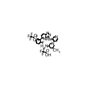 C[C@H]1C[C@@H](N)CN(c2ccncc2Nc2nnc3ccc(-c4c(F)cccc4F)nn23)C1.O=C(O)C(F)(F)F.O=C(O)C(F)(F)F